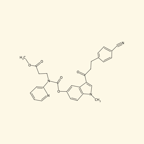 COC(=O)CCN(C(=O)Oc1ccc2c(c1)c(C(=O)CCc1ccc(C#N)cc1)cn2C)c1ccccn1